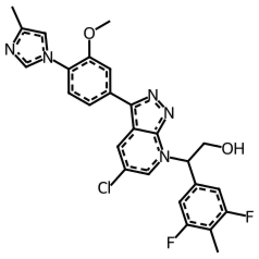 COc1cc(-c2nnc3n(C(CO)c4cc(F)c(C)c(F)c4)cc(Cl)cc2-3)ccc1-n1cnc(C)c1